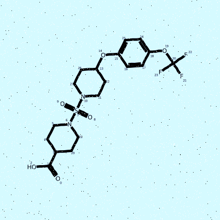 O=C(O)C1CCN(S(=O)(=O)N2CCC(Oc3ccc(OC(F)(F)F)cc3)CC2)CC1